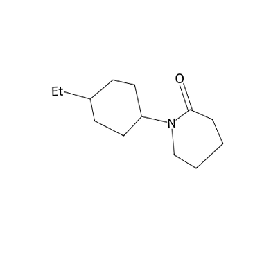 CCC1CCC(N2CCCCC2=O)CC1